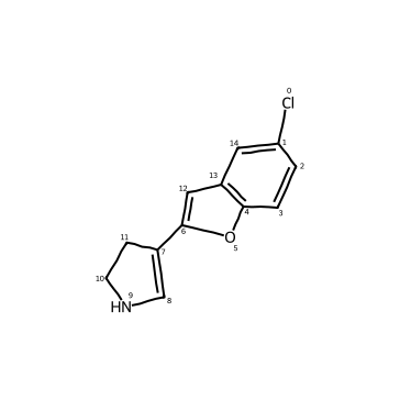 Clc1ccc2oc(C3=CNCC3)cc2c1